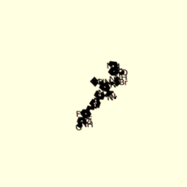 Cn1cc(-c2cc(Nc3ncc(Br)c(Nc4ccc5nccnc5c4P(C)(C)=O)n3)c(OC3CCC3)cc2N2CCC(N3CCN(CCc4cc(F)c([C@H]5CCC(=O)NC5=O)c(F)c4)CC3)CC2)cn1